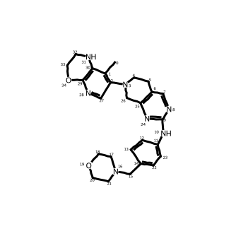 Cc1c(N2CCc3cnc(Nc4ccc(CN5CCOCC5)cc4)nc3C2)cnc2c1NCCO2